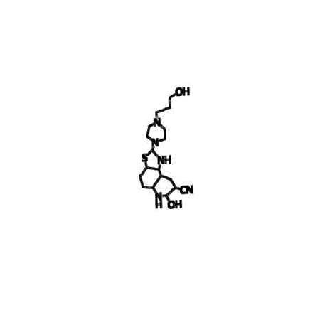 N#CC1CC2C(CCC3SC(N4CCN(CCCO)CC4)NC32)NC1O